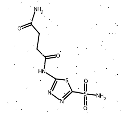 NC(=O)CCC(=O)Nc1nnc(S(N)(=O)=O)s1